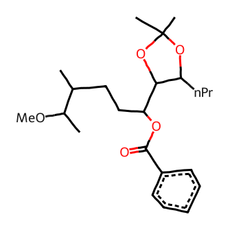 CCCC1OC(C)(C)OC1C(CCC(C)C(C)OC)OC(=O)c1ccccc1